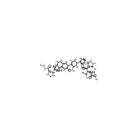 CCCC(=O)N1CCC[C@H]1c1nc2ccc3cc4c(cc3c2[nH]1)OCc1cc(-c2cnc([C@@H]3CC[C@H](C)N3C(=O)C(NC(=O)OC)C(C)C)[nH]2)ccc1-4